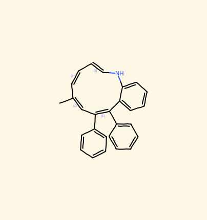 CC1=C/C(c2ccccc2)=C(/c2ccccc2)c2ccccc2N/C=C/C=C\1